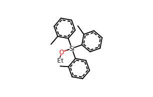 CCO[Si](c1ccccc1C)(c1ccccc1C)c1ccccc1C